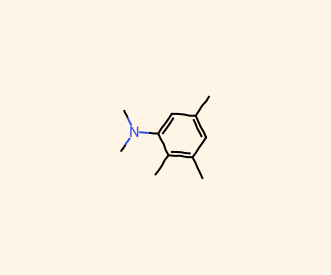 Cc1cc(C)c(C)c(N(C)C)c1